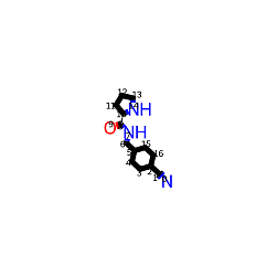 N#CC1CCC(CNC(=O)[C@@H]2CCCN2)CC1